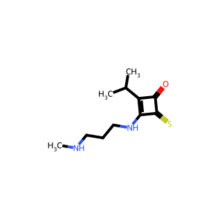 CNCCCNc1c(C(C)C)c(=O)c1=S